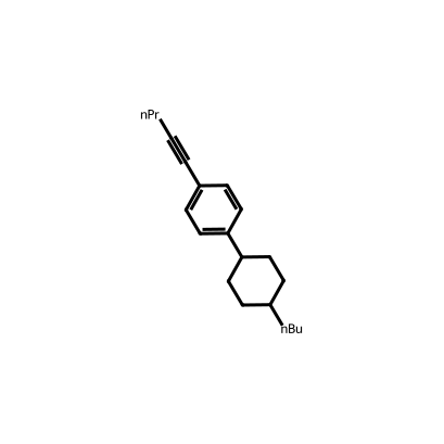 CCCC#Cc1ccc(C2CCC(CCCC)CC2)cc1